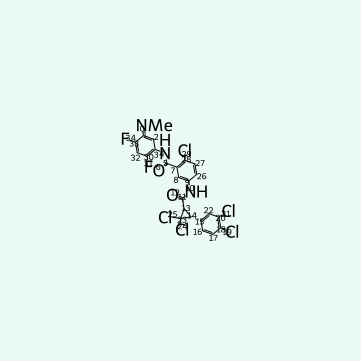 CNc1cc(NC(=O)c2cc(NC(=O)[C@H]3[C@H](c4ccc(Cl)c(Cl)c4)C3(Cl)Cl)ccc2Cl)c(F)cc1F